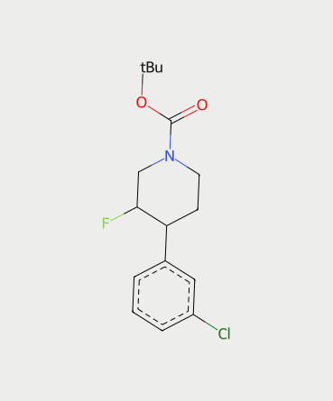 CC(C)(C)OC(=O)N1CCC(c2cccc(Cl)c2)C(F)C1